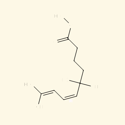 COC(=O)CCCC(C)(C)/C=C\C=C(C)C